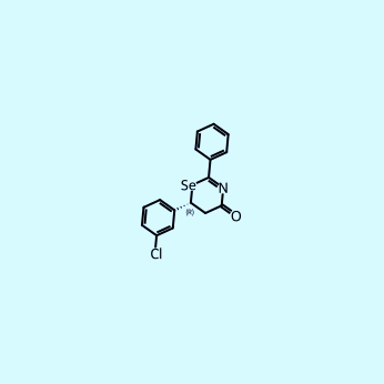 O=C1C[C@H](c2cccc(Cl)c2)[Se]C(c2ccccc2)=N1